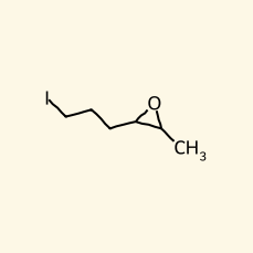 CC1OC1CCCI